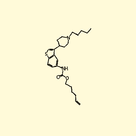 C=CCCCCOC(=O)Nc1ccc2scc(C3CCN(CCCCC)CC3)c2c1